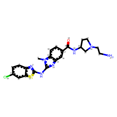 Cn1c(Nc2nc3ccc(Cl)cc3s2)nc2cc(C(=O)NC3CCN(CCN)C3)ccc21